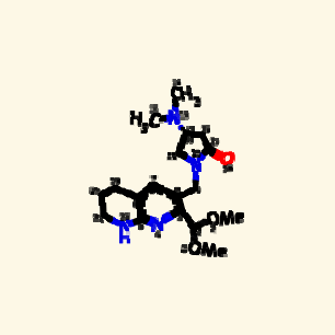 COC(OC)c1nc2c(cc1CN1C[C@H](N(C)C)CC1=O)CCCN2